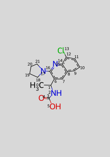 CC(NC(=O)O)c1cc2cccc(Cl)c2nc1N1CCCC1